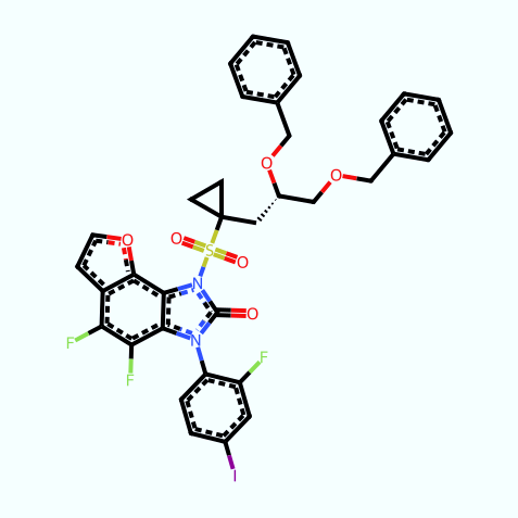 O=c1n(-c2ccc(I)cc2F)c2c(F)c(F)c3ccoc3c2n1S(=O)(=O)C1(C[C@@H](COCc2ccccc2)OCc2ccccc2)CC1